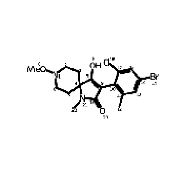 CON1CCC2(CC1)C(O)=C(c1c(C)cc(Br)cc1Cl)C(=O)N2C